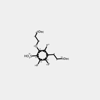 CCCCCCCCCCCCOc1c(F)c(CCCCCCCCCCCC)c(F)c(F)c1S(=O)(=O)O